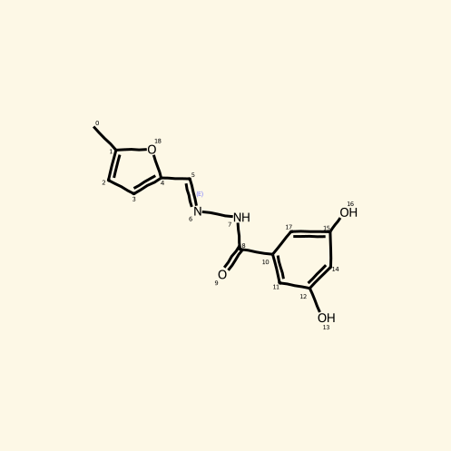 Cc1ccc(/C=N/NC(=O)c2cc(O)cc(O)c2)o1